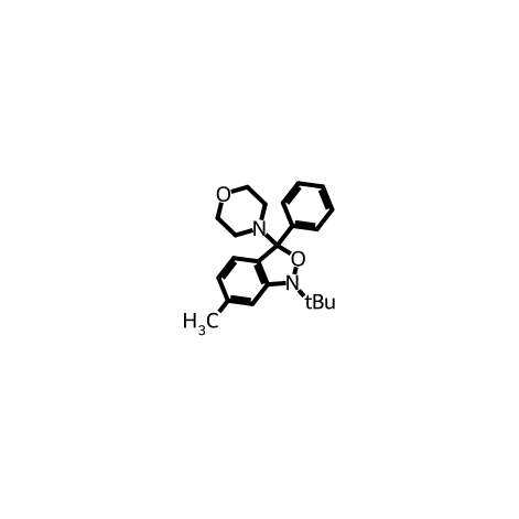 Cc1ccc2c(c1)N(C(C)(C)C)OC2(c1ccccc1)N1CCOCC1